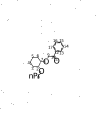 CCCOC1C[CH]CCC1OCC(=O)c1ccccc1